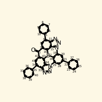 O=C1c2cc(-c3ccccc3)c3nnn4c3c2B2c3c-4cc(-c4ccccc4)cc3-n3nnc4c(-c5ccccc5)cc1c2c43